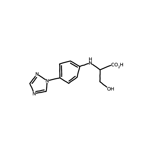 O=C(O)C(CO)Nc1ccc(-n2cncn2)cc1